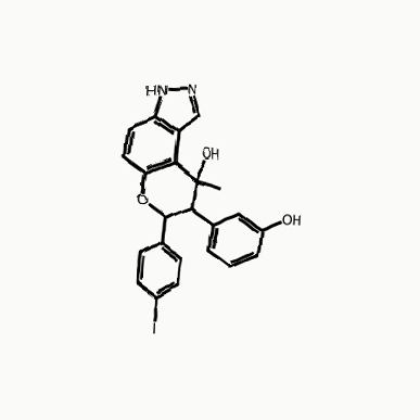 CC1(O)c2c(ccc3[nH]ncc23)OC(c2ccc(I)cc2)C1c1cccc(O)c1